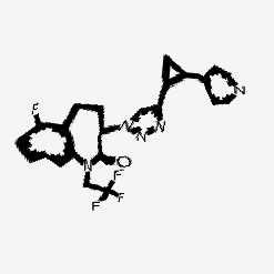 O=C1C(n2cc(C3CC3c3ccncc3)nn2)CCc2c(F)cccc2N1CC(F)(F)F